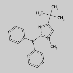 Cn1cc(C(C)(C)C)nc1P(c1ccccc1)c1ccccc1